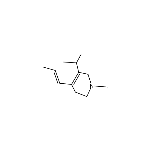 C/C=C/C1=C(C(C)C)CN(C)CC1